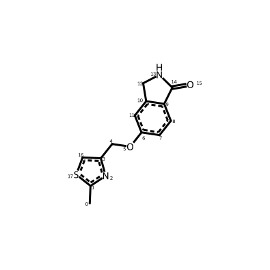 Cc1nc(COc2ccc3c(c2)CNC3=O)cs1